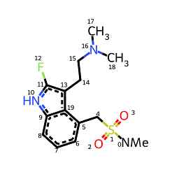 CNS(=O)(=O)Cc1cccc2[nH]c(F)c(CCN(C)C)c12